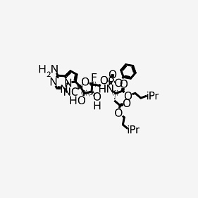 CC(C)CCOC(=O)C[C@H](NP(=O)(OC[C@@]1(F)O[C@@](C#N)(c2ccc3c(N)ncnn23)[C@H](O)[C@@H]1O)Oc1ccccc1)C(=O)OCCC(C)C